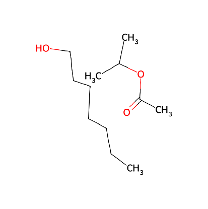 CC(=O)OC(C)C.CCCCCCCO